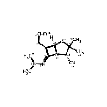 CN(C)N=C1[C@@H](CC=O)[C@H]2SC(C)(C)[C@H](C#N)N12